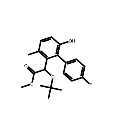 COC(=O)C(OC(C)(C)C)c1c(C)ccc(O)c1-c1ccc(F)cc1